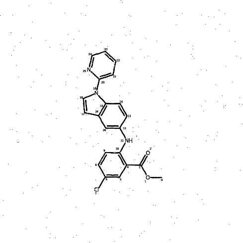 COC(=O)c1cc(Cl)ccc1Nc1ccc2c(ccn2-c2ccccn2)c1